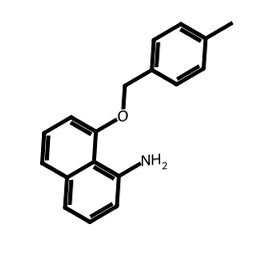 Cc1ccc(COc2cccc3cccc(N)c23)cc1